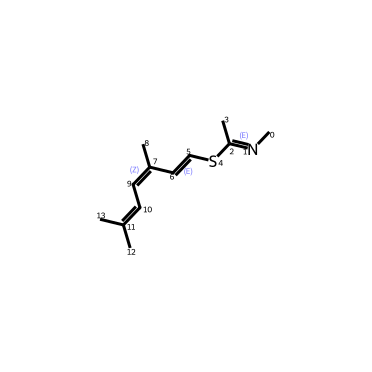 C/N=C(\C)S/C=C/C(C)=C\C=C(C)C